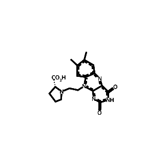 Cc1cc2nc3c(=O)[nH]c(=O)nc-3n(CCN3CCC[C@@H]3C(=O)O)c2cc1C